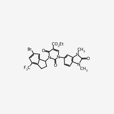 CCOC(=O)c1cn(-c2ccc3c(c2)n(C)c(=O)n3C)c(=O)n(C2CCc3c2cc(Br)cc3C(F)(F)F)c1=O